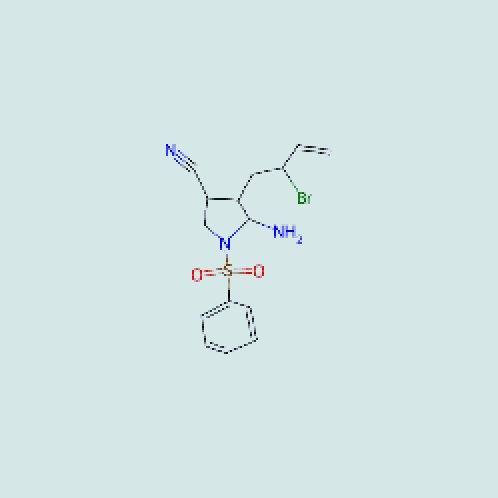 C=CC(Br)CC1C(C#N)CN(S(=O)(=O)c2ccccc2)C1N